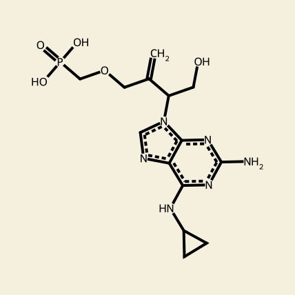 C=C(COCP(=O)(O)O)C(CO)n1cnc2c(NC3CC3)nc(N)nc21